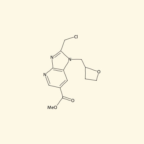 COC(=O)c1cnc2nc(CCl)n(CC3CCO3)c2c1